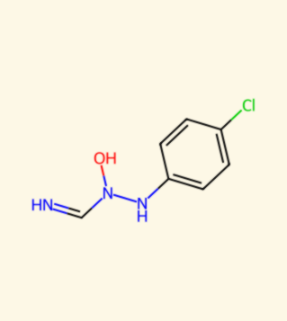 N=CN(O)Nc1ccc(Cl)cc1